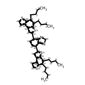 CCCCc1c(CCCC)c2sc(-c3ccc(-c4cc5c(s4)c(CCCC)c(CCCC)c4sccc45)c4c3=NCN=4)cc2c2ccsc12